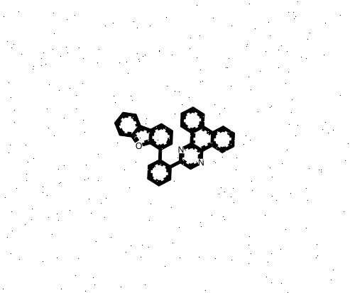 c1ccc(-c2cccc3c2oc2ccccc23)c(-c2cnc3c4ccccc4c4ccccc4c3n2)c1